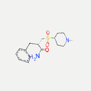 CN1CCC(S(=O)(=O)C[C@@H](Cc2ccccc2)C(N)=O)CC1